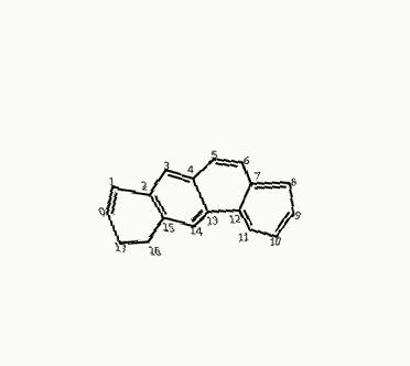 C1=Cc2cc3ccc4ccccc4c3cc2CC1